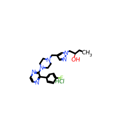 CC[C@@H](O)Cn1cc(CN2CCN(c3nccnc3-c3ccc(F)cc3)CC2)cn1.Cl